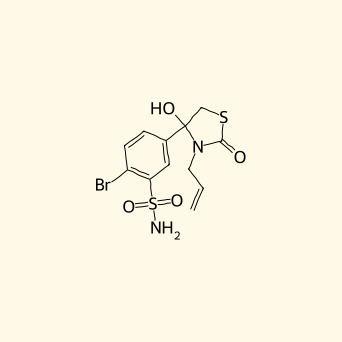 C=CCN1C(=O)SCC1(O)c1ccc(Br)c(S(N)(=O)=O)c1